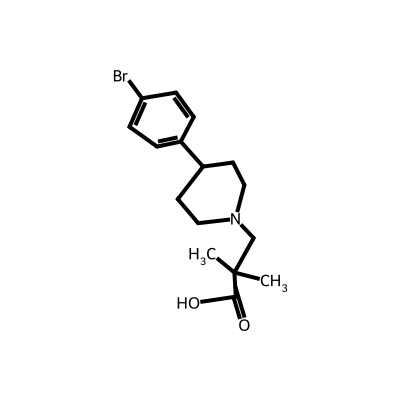 CC(C)(CN1CCC(c2ccc(Br)cc2)CC1)C(=O)O